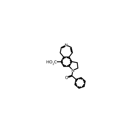 O=C(O)c1cc2c(c3c1CC=NC=C3)CCN2C(=O)c1ccccc1